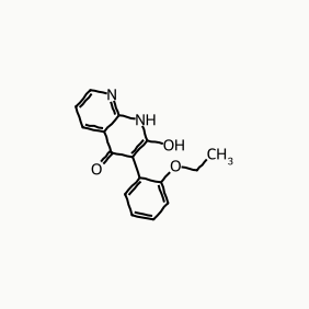 CCOc1ccccc1-c1c(O)[nH]c2ncccc2c1=O